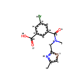 Cc1csc(CN(C)C(=O)c2cc(Br)cc(C(=O)O)c2)n1